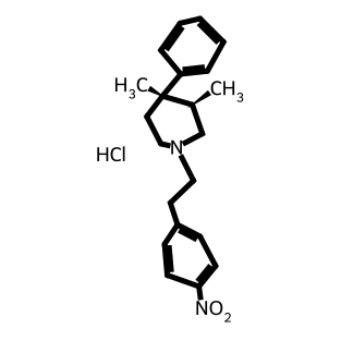 C[C@H]1CN(CCc2ccc([N+](=O)[O-])cc2)CC[C@]1(C)c1ccccc1.Cl